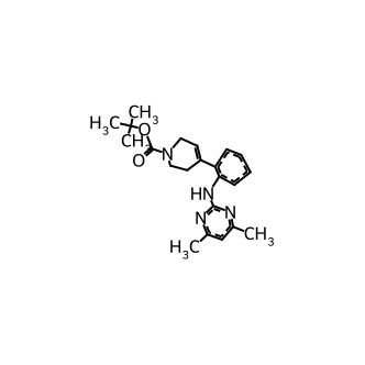 Cc1cc(C)nc(Nc2ccccc2C2=CCN(C(=O)OC(C)(C)C)CC2)n1